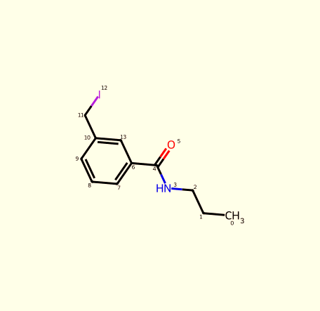 CCCNC(=O)c1cccc(CI)c1